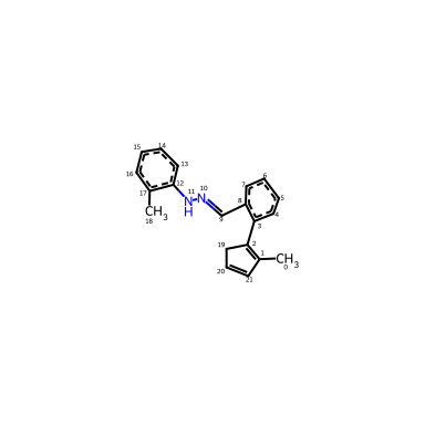 CC1=C(c2ccccc2C=NNc2ccccc2C)CC=C1